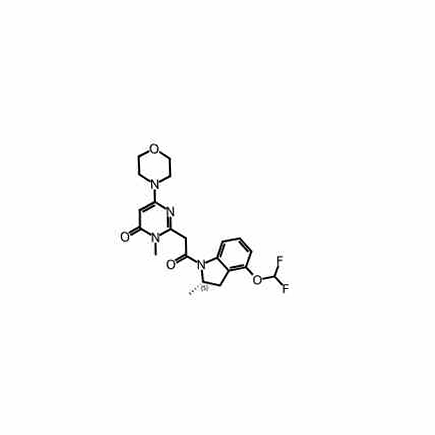 C[C@H]1Cc2c(OC(F)F)cccc2N1C(=O)Cc1nc(N2CCOCC2)cc(=O)n1C